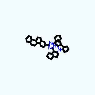 c1ccc(-c2nc(-c3ccc4c(ccc5c6ccccc6ccc45)c3)nc(-c3c(-n4c5ccccc5c5ccccc54)ccc4ccccc34)n2)cc1